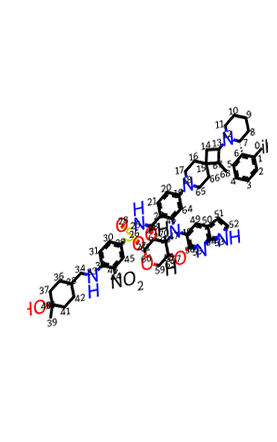 CC(C)c1ccccc1[C@H]1CCCCN1C1CC2(CCN(c3ccc(C(=O)NS(=O)(=O)c4ccc(NCC5CCC(C)(O)CC5)c([N+](=O)[O-])c4)c(N4c5cc6cc[nH]c6nc5O[C@H]5COCC[C@@H]54)c3)CC2)C1C